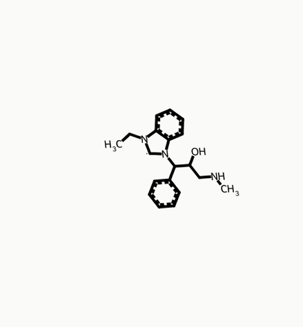 CCN1[CH]N(C(c2ccccc2)C(O)CNC)c2ccccc21